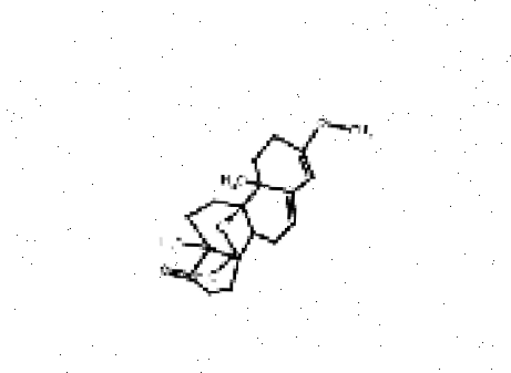 CCO[C@]12CCC3(C)C(=O)CCC3C1CC=C1C=C(OC)CCC12C